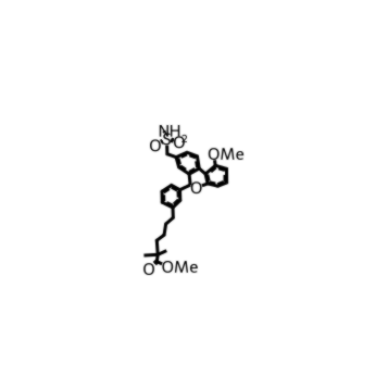 COC(=O)C(C)(C)CCCCc1cccc(C2Oc3cccc(OC)c3-c3ccc(CS(N)(=O)=O)cc32)c1